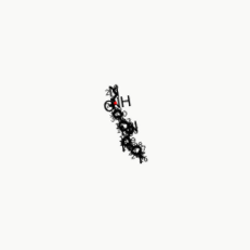 CN(C)CCNC(=O)c1ccc(-c2ccn3c(-c4ccnc(-c5ccc(F)cc5)c4)cnc3c2)cc1